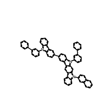 c1ccc(-c2cccc(-n3c4ccccc4c4cc(-c5ccc6c(c5)c5cc7c8ccccc8n(-c8ccc9ccccc9c8)c7cc5n6-c5cccc(-c6ccccc6)c5)ccc43)c2)cc1